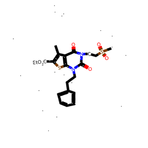 CCOC(=O)c1sc2c(c1C)c(=O)n(CCS(C)(=O)=O)c(=O)n2CCc1ccccc1